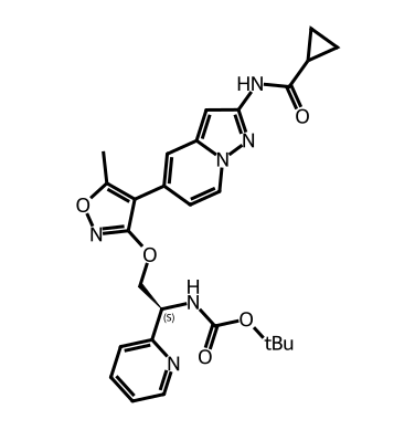 Cc1onc(OC[C@@H](NC(=O)OC(C)(C)C)c2ccccn2)c1-c1ccn2nc(NC(=O)C3CC3)cc2c1